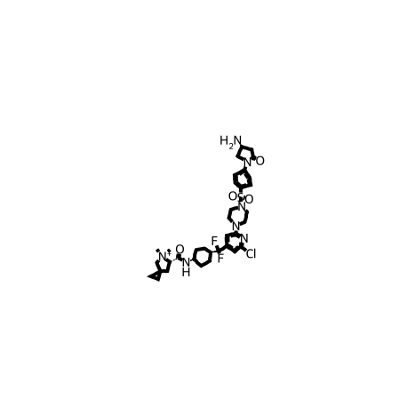 C[N+]1(C)CC2(CC2)C[C@H]1C(=O)N[C@H]1CC[C@H](C(F)(F)c2cc(Cl)nc(N3CCN(S(=O)(=O)c4ccc(N5C[C@H](N)CC5=O)cc4)CC3)c2)CC1